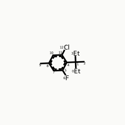 CCC(C)(CC)c1c(F)cc(C)cc1Cl